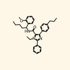 CCCCC(NC(=O)c1c(-c2ccc(CCC)cc2)nc(-c2ccccc2)n1CC)c1ccccc1OC